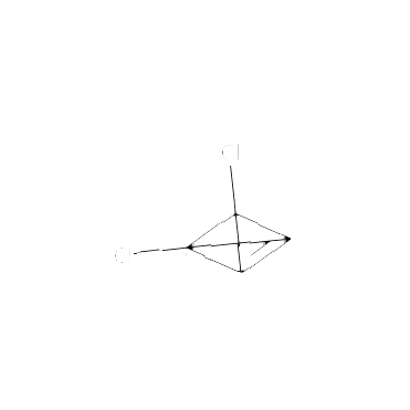 ClC12C3=C1C32Cl